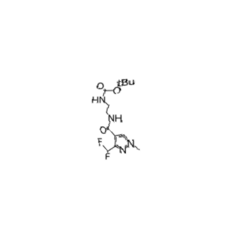 Cn1cc(C(=O)NCCNC(=O)OC(C)(C)C)c(C(F)F)n1